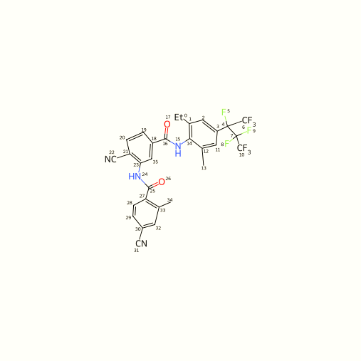 CCc1cc(C(F)(C(F)(F)F)C(F)(F)C(F)(F)F)cc(C)c1NC(=O)c1ccc(C#N)c(NC(=O)c2ccc(C#N)cc2C)c1